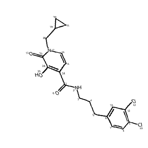 O=C(NCCCc1ccc(Cl)c(Cl)c1)c1ccn(CC2CC2)c(=O)c1O